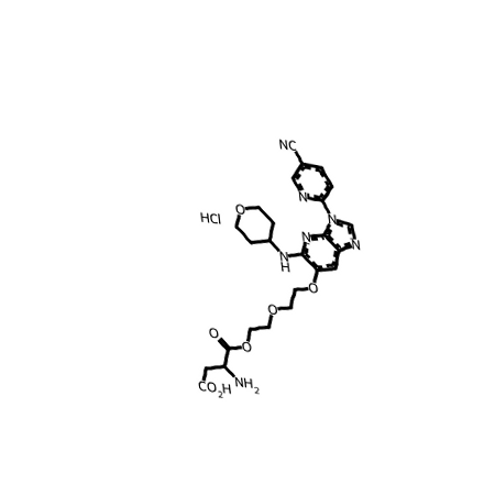 Cl.N#Cc1ccc(-n2cnc3cc(OCCOCCOC(=O)C(N)CC(=O)O)c(NC4CCOCC4)nc32)nc1